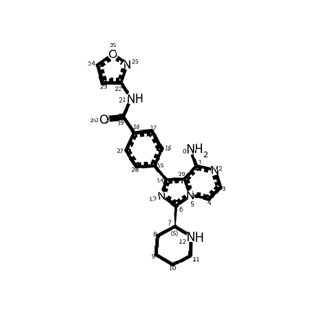 Nc1nccn2c([C@@H]3CCCCN3)nc(-c3ccc(C(=O)Nc4ccon4)cc3)c12